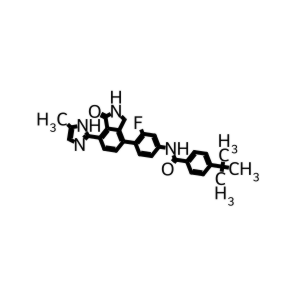 Cc1cnc(-c2ccc(-c3ccc(NC(=O)c4ccc(C(C)(C)C)cc4)cc3F)c3c2C(=O)NC3)[nH]1